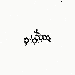 Cc1cccc(Oc2cccc(N(Cc3cc(C(F)(F)F)ccc3F)CC(O)C(F)(F)F)c2)c1